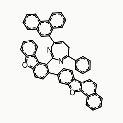 C1=C(c2cc3ccccc3c3ccccc23)N=C(c2c(-c3ccc4c(c3)oc3c5ccccc5ccc43)ccc3oc4ccccc4c23)N=C(c2ccccc2)C1